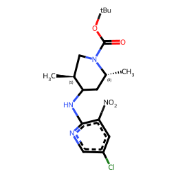 C[C@@H]1CC(Nc2ncc(Cl)cc2[N+](=O)[O-])[C@@H](C)CN1C(=O)OC(C)(C)C